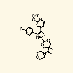 CCCOc1nccc(-c2[nH]c(C3OCC(C)(C(=O)N4CCOCC4)CO3)nc2-c2ccc(F)cc2)n1